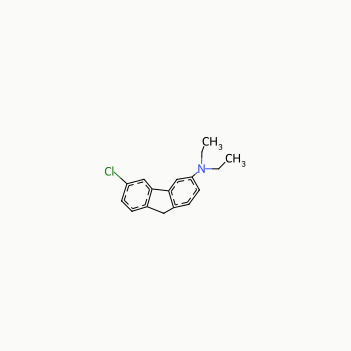 CCN(CC)c1ccc2c(c1)-c1cc(Cl)ccc1C2